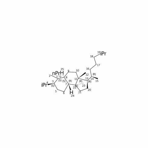 CCC[C@@]1(C)[C@H](C(C)C)CC[C@@H]2[C@@H]1CC[C@]1(C)[C@@H]([C@H](C)CCCC(C)C)CC[C@@]21C